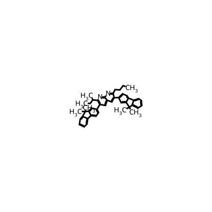 CCCCc1nc2nc(C(C)CC)c(-c3ccc4c(c3)C(C)(C)c3ccccc3-4)cc2cc1-c1ccc2c(c1)C(C)(C)c1ccccc1-2